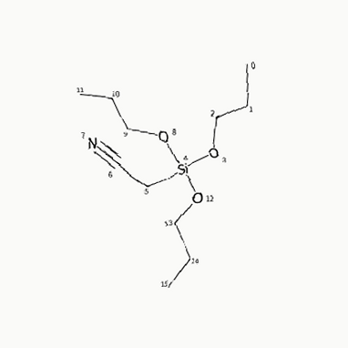 CCCO[Si](CC#N)(OCCC)OCCC